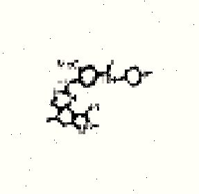 COc1cc(C(=O)NC2CCN(C)CC2)ccc1Nc1ncc2c(n1)-c1c(nn(C)c1C(C)C)CC2C